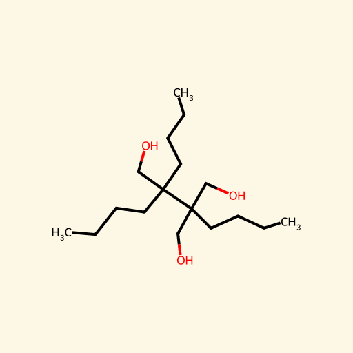 CCCCC(CO)(CO)C(CO)(CCCC)CCCC